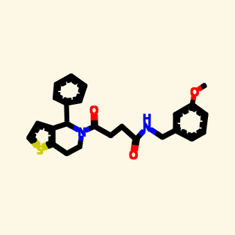 COc1cccc(CNC(=O)CCC(=O)N2CCc3sccc3C2c2ccccc2)c1